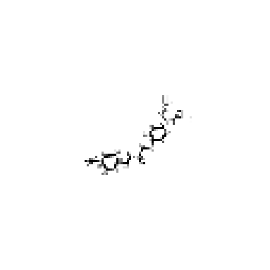 CCN(CC)c1ccc(C=CC(=O)C=Cc2ccc(C#N)cc2)cc1